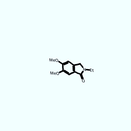 CCN1Cc2cc(OC)c(OC)cc2C1=O